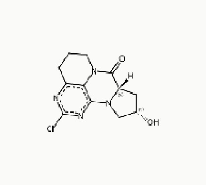 O=C1[C@@H]2C[C@H](O)CN2c2nc(Cl)nc3c2N1CCC3